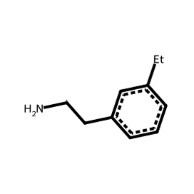 CCc1cccc(C[CH]N)c1